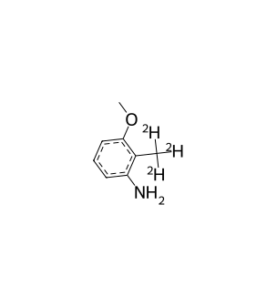 [2H]C([2H])([2H])c1c(N)cccc1OC